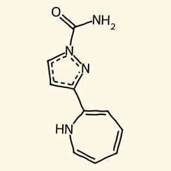 NC(=O)n1ccc(C2=CC=CC=CN2)n1